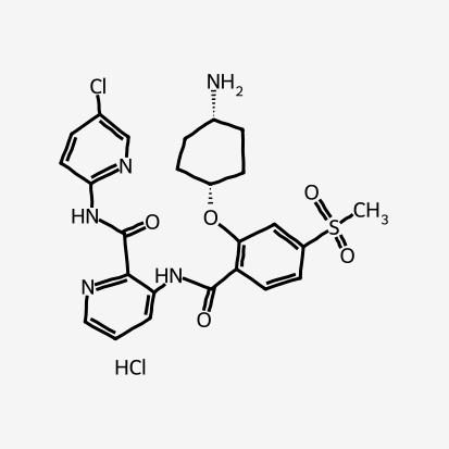 CS(=O)(=O)c1ccc(C(=O)Nc2cccnc2C(=O)Nc2ccc(Cl)cn2)c(O[C@H]2CC[C@@H](N)CC2)c1.Cl